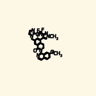 COc1ccc2ccnc(N3CCc4c(cc(Cn5ccnc5C)cc4-c4cn(C)nc4C(F)(F)F)C3=O)c2c1